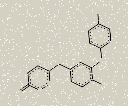 O=c1ccc(Cc2ccc(Cl)c(Oc3ccc(Br)cc3)c2)n[nH]1